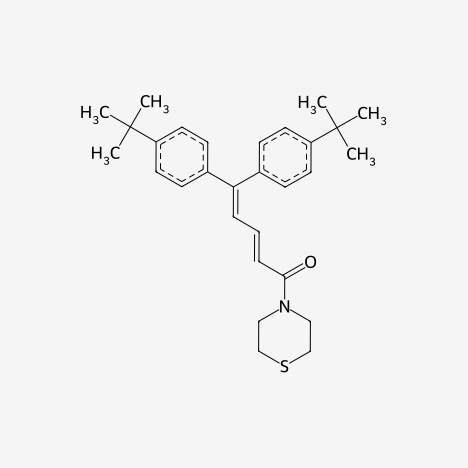 CC(C)(C)c1ccc(C(=CC=CC(=O)N2CCSCC2)c2ccc(C(C)(C)C)cc2)cc1